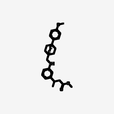 COC(=O)CC(C)c1cccc(NCC23CCC(c4ccc(OC)cc4)(CC2)CC3)c1